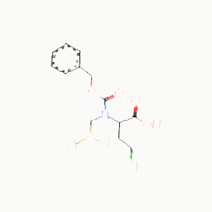 O=C(O)C(CCCl)N(CP(Cl)Cl)C(=O)OCc1ccccc1